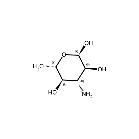 C[C@@H]1O[C@@H](O)[C@@H](O)[C@H](N)[C@H]1O